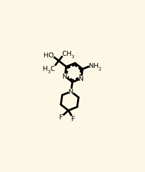 CC(C)(O)c1cc(N)nc(N2CCC(F)(F)CC2)n1